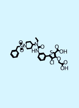 CCN(C(=O)Nc1cccc(-c2sc(C(=O)O)c(OCC(=O)O)c2Cl)c1)C1CCN(S(=O)(=O)Cc2ccccc2)CC1